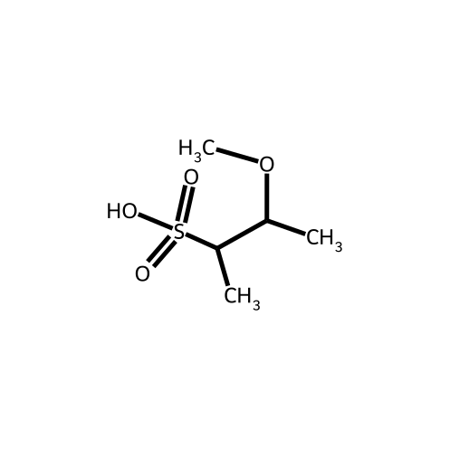 COC(C)C(C)S(=O)(=O)O